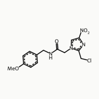 COc1ccc(CNC(=O)Cn2cc([N+](=O)[O-])nc2CCl)cc1